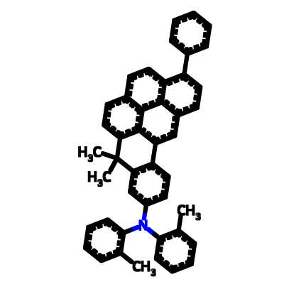 Cc1ccccc1N(c1ccc2c(c1)C(C)(C)c1ccc3ccc4c(-c5ccccc5)ccc5cc-2c1c3c54)c1ccccc1C